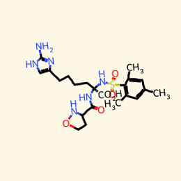 Cc1cc(C)c(S(=O)(=O)NC(CCCCc2c[nH]c(N)n2)(NC(=O)C2CCON2)C(=O)O)c(C)c1